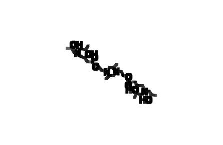 CC(O)CN(CCCC(=O)OCCN1CC(C)N(CCOC(=O)CCCN(CC(C)O)CC(C)O)CC1C)CC(C)O